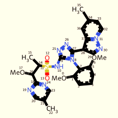 COc1cccc(OC)c1-n1c(NS(=O)(=O)C(C)C(OC)c2ncc(C)cn2)nnc1-c1cnn2ccc(C)cc12